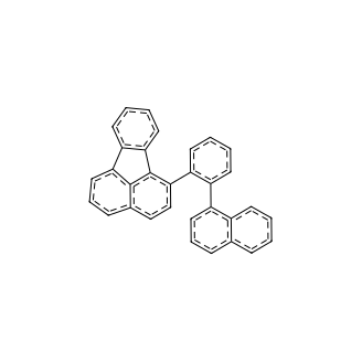 c1ccc(-c2cccc3ccccc23)c(-c2ccc3cccc4c3c2-c2ccccc2-4)c1